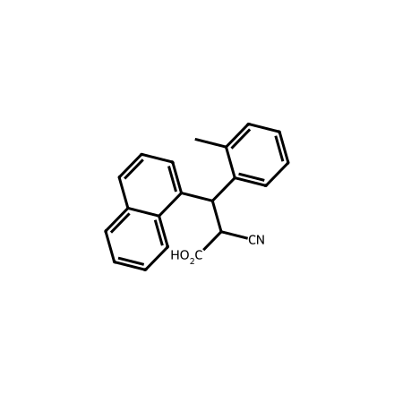 Cc1ccccc1C(c1cccc2ccccc12)C(C#N)C(=O)O